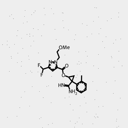 COCCn1nc(C(F)F)cc1C(=O)OC1CC1(C(=N)N)c1ccccc1C